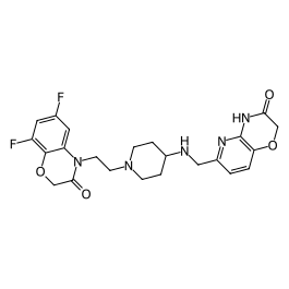 O=C1COc2ccc(CNC3CCN(CCN4C(=O)COc5c(F)cc(F)cc54)CC3)nc2N1